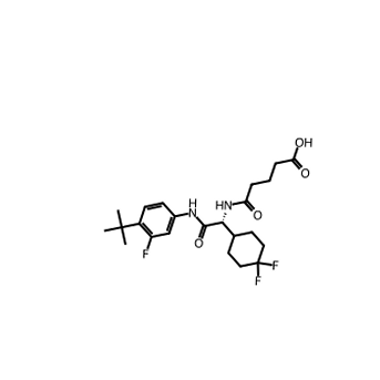 CC(C)(C)c1ccc(NC(=O)[C@H](NC(=O)CCCC(=O)O)C2CCC(F)(F)CC2)cc1F